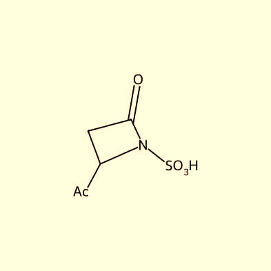 CC(=O)C1CC(=O)N1S(=O)(=O)O